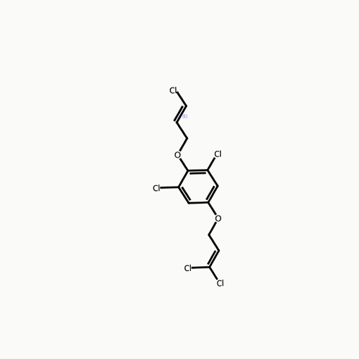 Cl/C=C/COc1c(Cl)cc(OCC=C(Cl)Cl)cc1Cl